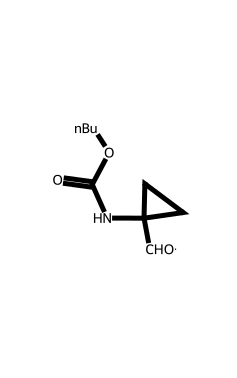 CCCCOC(=O)NC1([C]=O)CC1